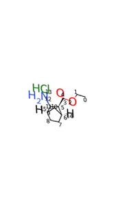 CCOC(=O)[C@H]1[C@H]2CC[C@H](C2)[C@H]1N.Cl